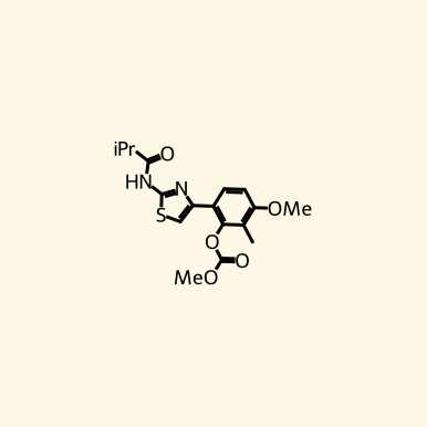 COC(=O)Oc1c(-c2csc(NC(=O)C(C)C)n2)ccc(OC)c1C